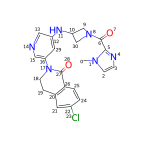 Cn1ccnc1C(=O)N1CC(Nc2cncc(N3CCc4cc(Cl)ccc4C3=O)c2)C1